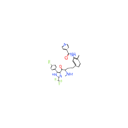 CNC(CCc1ccc(C)c(NC(=O)c2ccncc2)c1)C(=O)c1nc(C(F)(F)F)[nH]c1-c1ccc(F)cc1